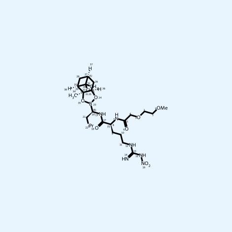 COCCOCC(=O)N[C@@H](CCCNC(=N)N[N+](=O)[O-])C(=O)N[C@@H](CC(C)C)B1O[C@@H]2C[C@@H]3C[C@@H](C3(C)C)[C@]2(C)O1